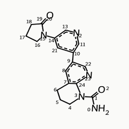 NC(=O)N1CCCc2cc(-c3cncc(N4CCCC4=O)c3)cnc21